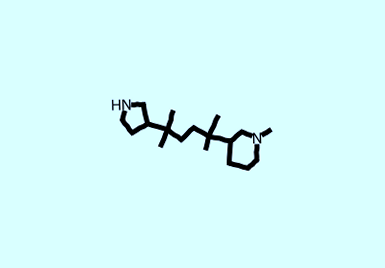 CN1CCCC(C(C)(C)CCC(C)(C)C2CCNC2)C1